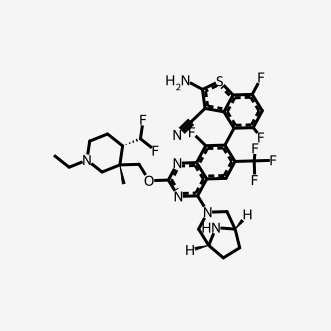 CCN1CC[C@H](C(F)F)[C@](C)(COc2nc(N3C[C@H]4CC[C@@H](C3)N4)c3cc(C(F)(F)F)c(-c4c(F)cc(F)c5sc(N)c(C#N)c45)c(F)c3n2)C1